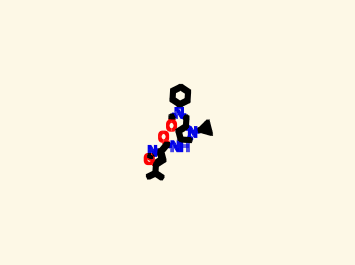 CC(C)c1cc(C(=O)NC2CC(CN(C=O)C3CCCCC3)N(C3CC3)C2)no1